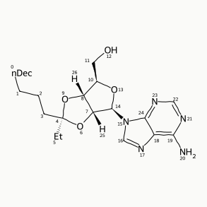 CCCCCCCCCCCCC[C@]1(CC)O[C@@H]2[C@H](O1)[C@@H](CO)O[C@H]2n1cnc2c(N)ncnc21